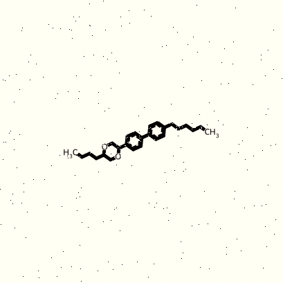 CCCCCCc1ccc(-c2ccc(C3COC(CCCC)CO3)cc2)cc1